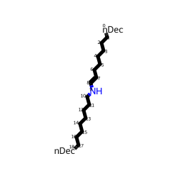 CCCCCCCCCCCCCCCCC=CNCCCCCCCCCCCCCCCCCC